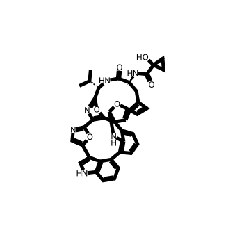 CC(C)[C@@H]1NC(=O)[C@@H](NC(=O)C2(O)CC2)Cc2ccc3c(c2)C24c5cccc(c5NC2O3)-c2cccc3[nH]cc(c23)-c2cnc(o2)-c2nc1oc24